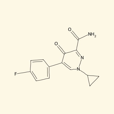 NC(=O)c1nn(C2CC2)cc(-c2ccc(F)cc2)c1=O